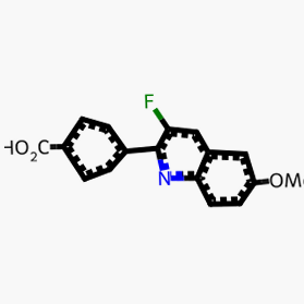 COc1ccc2nc(-c3ccc(C(=O)O)cc3)c(F)cc2c1